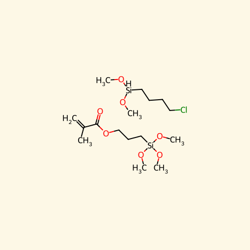 C=C(C)C(=O)OCCC[Si](OC)(OC)OC.CO[SiH](CCCCCl)OC